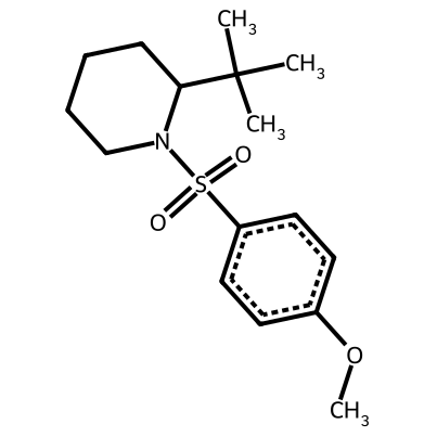 COc1ccc(S(=O)(=O)N2CCCCC2C(C)(C)C)cc1